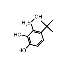 CC(C)(C)c1ccc(O)c(O)c1[SiH2]O